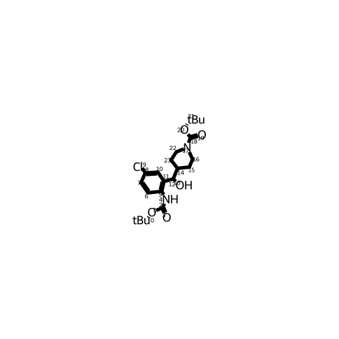 CC(C)(C)OC(=O)Nc1ccc(Cl)cc1C(O)C1CCN(C(=O)OC(C)(C)C)CC1